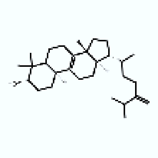 C=C(CCC(C)[C@H]1CC[C@@]2(C)C3=C(CC[C@]12C)[C@@]1(C)CC[C@H](O)C(C)(C)C1CC3)C(C)C